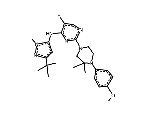 COc1ccc(N2CCN(c3ncc(F)c(Nc4cc(C(C)(C)C)nn4C)n3)CC2(C)C)cc1